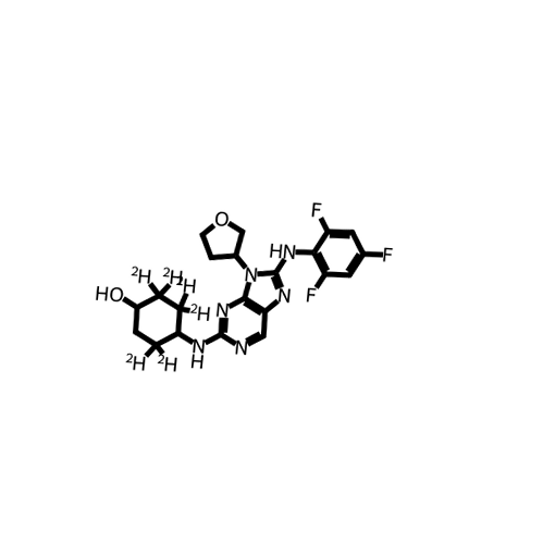 [2H]C1([2H])CC(O)C([2H])([2H])C([2H])([2H])C1Nc1ncc2nc(Nc3c(F)cc(F)cc3F)n(C3CCOC3)c2n1